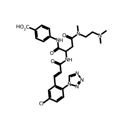 CN(C)CCN(C)C(=O)CC(NC(=O)C=Cc1cc(Cl)ccc1-n1cnnn1)C(=O)Nc1ccc(C(=O)O)cc1